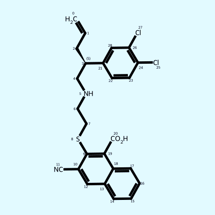 C=CC[C@H](CNCCSc1c(C#N)cc2ccccc2c1C(=O)O)c1ccc(Cl)c(Cl)c1